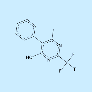 Cc1nc(C(F)(F)F)nc(O)c1-c1ccccc1